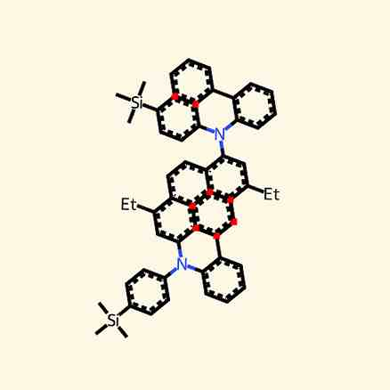 CCc1cc(N(c2ccc([Si](C)(C)C)cc2)c2ccccc2-c2ccccc2)c2ccc3c(CC)cc(N(c4ccc([Si](C)(C)C)cc4)c4ccccc4-c4ccccc4)c4ccc1c2c34